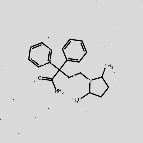 CC1CCC(C)N1CCC(C(N)=O)(c1ccccc1)c1ccccc1